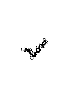 CCNC(=O)Cn1nc(-c2ccc(N3CC4(C3)CS(=O)(=O)C4)nc2)ccc1=O